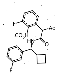 CC(=O)C(C(=O)N[C@H](c1cccc(F)c1)C1CCC1)c1cccc(F)c1C(=O)O